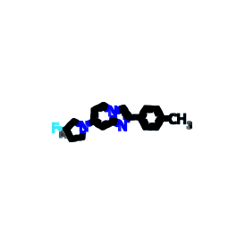 Cc1ccc(-c2cn3ccc(N4CC[C@@H](F)C4)cc3n2)cc1